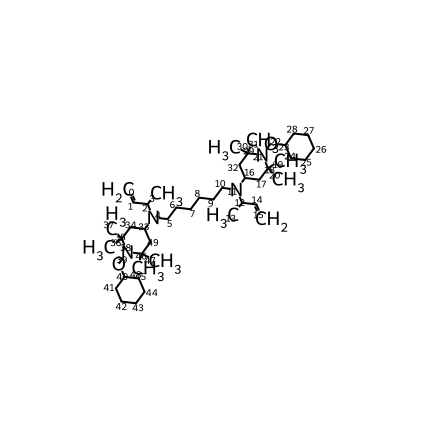 C=CC(C)N(CCCCCCN(C(C)C=C)C1CC(C)(C)N(OC2CCCCC2)C(C)(C)C1)C1CC(C)(C)N(OC2CCCCC2)C(C)(C)C1